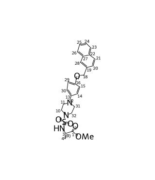 COC(=O)[C@@H](C)NS(=O)(=O)N1CCN(c2ccc(OCc3ccc4ccccc4c3)cc2)CC1